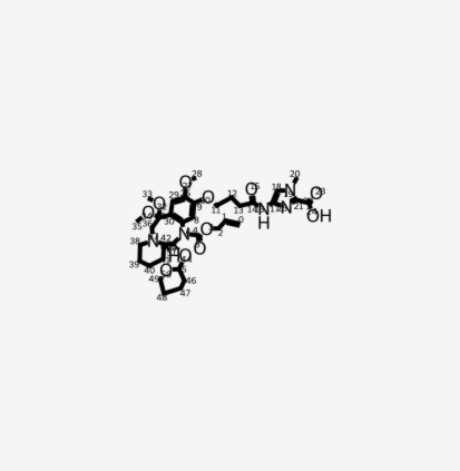 C=CCOC(=O)N1c2cc(OCCCC(=O)Nc3cn(C)c(C(=O)O)n3)c(OC)cc2C(OC)(OC)CN2CCCC[C@H]2[C@@H]1OC1CCCCO1